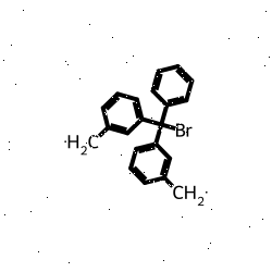 [CH2]c1cccc(C(Br)(c2ccccc2)c2cccc([CH2])c2)c1